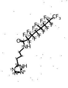 O=C(NCCCc1nnn[nH]1)C(F)(F)C(F)(F)C(F)(F)C(F)(F)C(F)(F)C(F)(F)C(F)(F)F